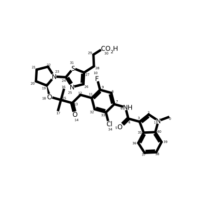 Cn1cc(C(=O)Nc2cc(F)c(CC(=O)C(C)(C)O[C@H]3CCCN3c3ncc(CCC(=O)O)s3)cc2Cl)c2ccccc21